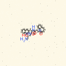 NCC(O)CNC(=O)[C@@H](Cc1ccc2ccccc2c1)NC(=O)CCN1C(=O)CCCc2ccccc21